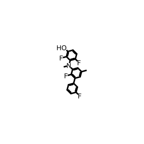 Cc1cc(-c2cccc(F)c2)c(F)c(N(C)c2c(F)ccc(O)c2F)c1